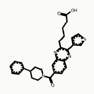 O=C(O)CCCCc1nc2cc(C(=O)N3CCC(c4ccccc4)CC3)ccc2nc1-c1ccsc1